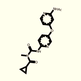 CC(=O)Nc1cc(Oc2ccc(NC(=O)N(C)C(=O)C3CC3)nc2)ccn1